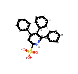 O=S(=O)(O)c1cc(-c2ccccc2)c(-c2ccccc2)c(-c2ccccc2)n1